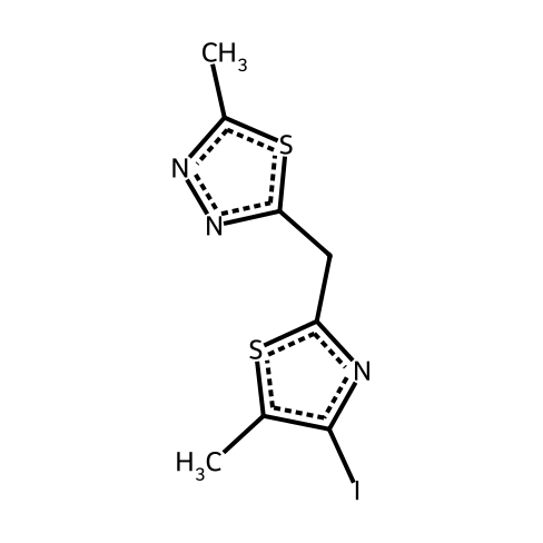 Cc1nnc(Cc2nc(I)c(C)s2)s1